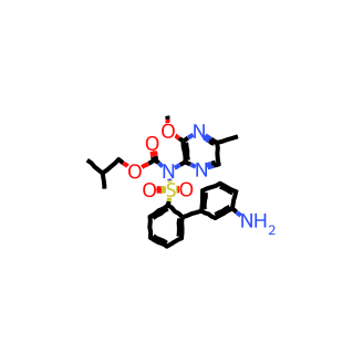 COc1nc(C)cnc1N(C(=O)OCC(C)C)S(=O)(=O)c1ccccc1-c1cccc(N)c1